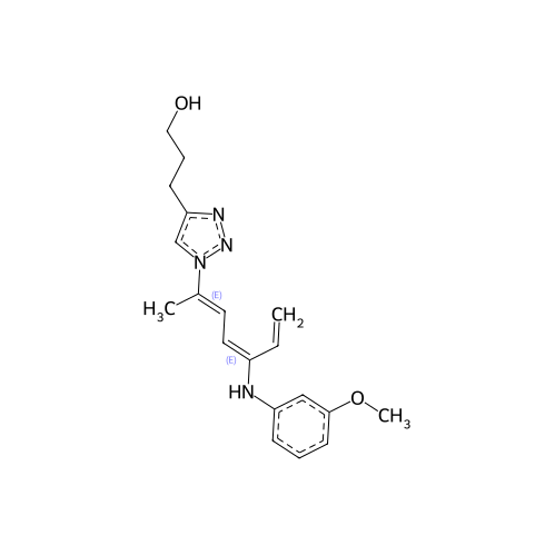 C=C/C(=C\C=C(/C)n1cc(CCCO)nn1)Nc1cccc(OC)c1